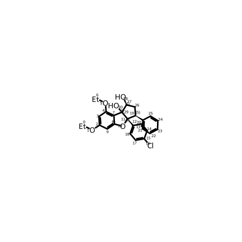 CCOc1cc(OCC)c2c(c1)O[C@@]1(c3ccc(Cl)cc3)[C@H](c3ccccc3)C[C@H](O)[C@@]21O